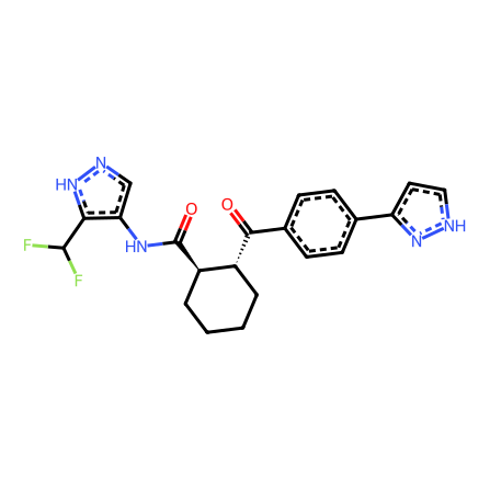 O=C(Nc1cn[nH]c1C(F)F)[C@@H]1CCCC[C@H]1C(=O)c1ccc(-c2cc[nH]n2)cc1